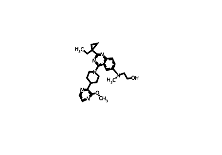 CCC1(c2nc(N3CCC(c4nccnc4OC)CC3)c3cc(N(C)CCO)ccc3n2)CC1